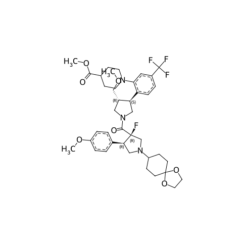 COC[C@H]1CN(C(=O)[C@]2(F)CN(C3CCC4(CC3)OCCO4)C[C@H]2c2ccc(OC)cc2)C[C@@H]1c1ccc(C(F)(F)F)cc1N1CCC(C(=O)OC)CC1